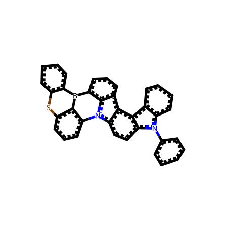 c1ccc(-n2c3ccccc3c3c4c5cccc6c5n(c4ccc32)-c2cccc3c2B6c2ccccc2S3)cc1